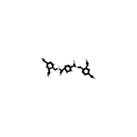 N#Cc1ccc(COC(=O)c2ccc(C(=O)OCc3ccc(C#N)cc3C#N)cc2)c(C#N)c1